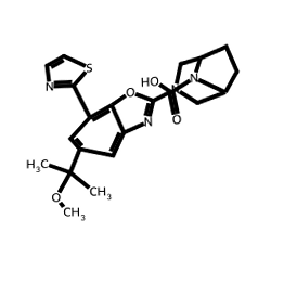 COC(C)(C)c1cc(-c2nccs2)c2oc(N3CC4CCC(C3)N4C(=O)O)nc2c1